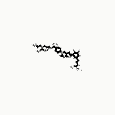 C=CCN(CCCN[C@@H](C)c1ccc(-n2cc3cc(-c4cc(CCC[C@H](C)N)cc(Cl)c4F)[nH]c3nc2=O)cc1)C(=N)N